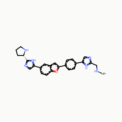 CCCNCc1ncc(-c2ccc(-c3cc4cc(-c5cnc([C@@H]6CCCN6)[nH]5)ccc4o3)cc2)[nH]1